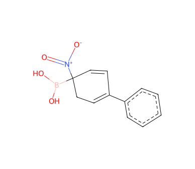 O=[N+]([O-])C1(B(O)O)C=CC(c2ccccc2)=CC1